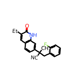 CCc1cc2ccc(C(C)(C#N)Cc3ccccc3F)cc2[nH]c1=O